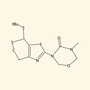 CN1COCN(c2nc3c(s2)C(SC(C)(C)C)SCC3)C1=O